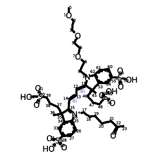 COCCOCCOCCN1/C(=C/C=C/C2=[N+](CCCCCC(C)=O)c3ccc(S(=O)(=O)O)cc3C2(C)CCCS(=O)(=O)O)C(C)(CCCS(=O)(=O)O)c2cc(S(=O)(=O)O)ccc21